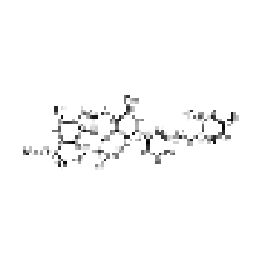 COC(=O)c1cc(F)c2nc(Cc3cc(F)c(-c4cccc(OCc5ncc(Br)cc5F)n4)cc3F)n(CC3(CF)CC3)c2c1